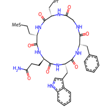 CSCC[C@@H]1NC(=O)[C@H](CC(C)C)NC(=O)CNC(=O)[C@H](Cc2ccccc2)NC(=O)[C@H](Cc2c[nH]c3ccccc23)NC(=O)[C@@H](CCC(N)=O)NC1=O